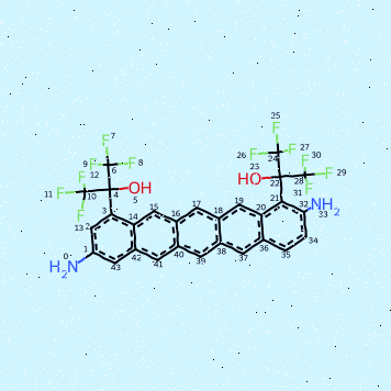 Nc1cc(C(O)(C(F)(F)F)C(F)(F)F)c2cc3cc4cc5c(C(O)(C(F)(F)F)C(F)(F)F)c(N)ccc5cc4cc3cc2c1